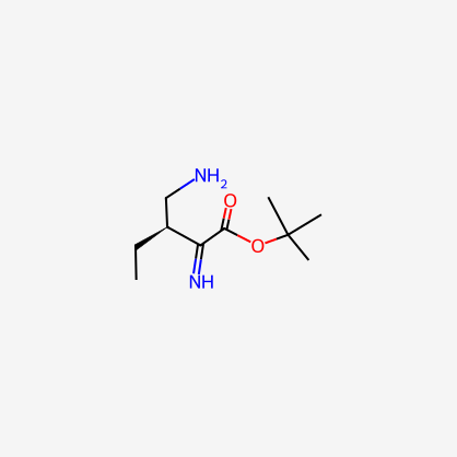 CC[C@@H](CN)C(=N)C(=O)OC(C)(C)C